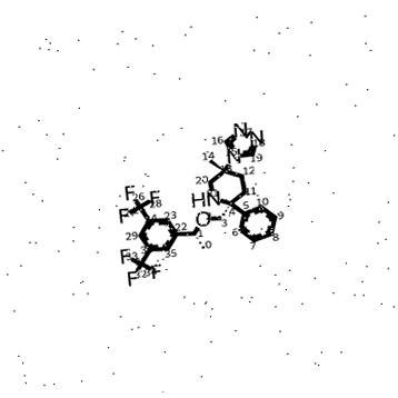 C[C@@H](OC[C@@]1(c2ccccc2)CC[C@@](C)(n2cnnc2)CN1)c1cc(C(F)(F)F)cc(C(F)(F)F)c1